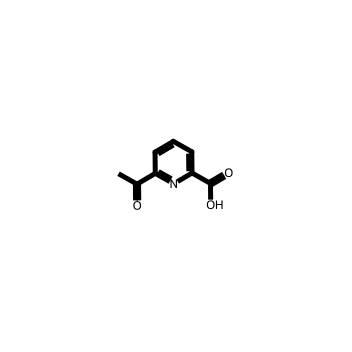 CC(=O)c1cccc(C(=O)O)n1